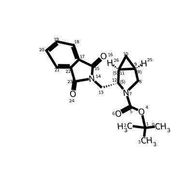 CC(C)(C)OC(=O)N1C[C@@H]2C[C@@H]2[C@H]1CN1C(=O)c2ccccc2C1=O